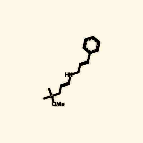 CO[Si](C)(C)CC=CNCC=Cc1ccccc1